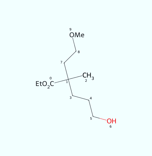 CCOC(=O)C(C)(CCCO)CCOC